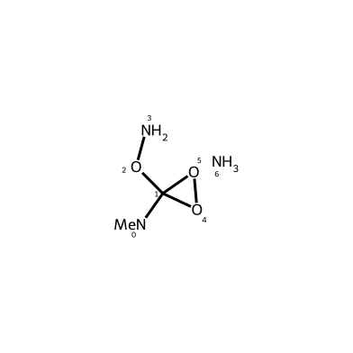 CNC1(ON)OO1.N